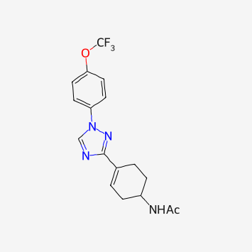 CC(=O)NC1CC=C(c2ncn(-c3ccc(OC(F)(F)F)cc3)n2)CC1